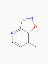 Cc1ccnc2cnoc12